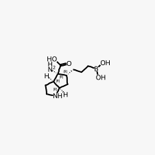 N[C@]1(C(=O)O)[C@H](CCCB(O)O)C[C@H]2NCC[C@H]21